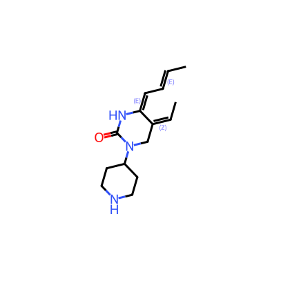 C/C=C1/CN(C2CCNCC2)C(=O)N/C1=C/C=C/C